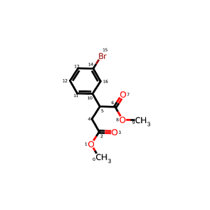 COC(=O)CC(C(=O)OC)c1cccc(Br)c1